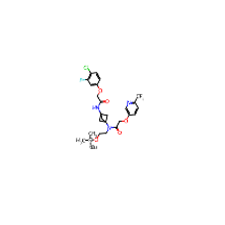 CC(C)(C)[Si](C)(C)OCCN(C(=O)COc1ccc(C(F)(F)F)nc1)C12CC(NC(=O)COc3ccc(Cl)c(F)c3)(C1)C2